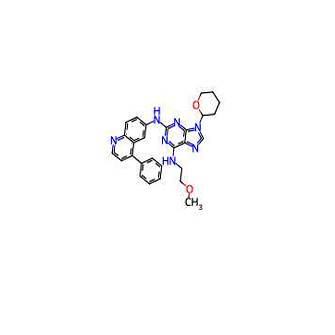 COCCNc1nc(Nc2ccc3nccc(-c4ccccc4)c3c2)nc2c1ncn2C1CCCCO1